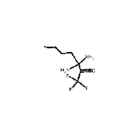 CCCCC(N)(N)C(=O)C(F)(F)F